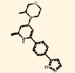 C=C1C=C(N2CCOCC2C)C=C(c2ccc(-c3ccn[nH]3)cc2)N1